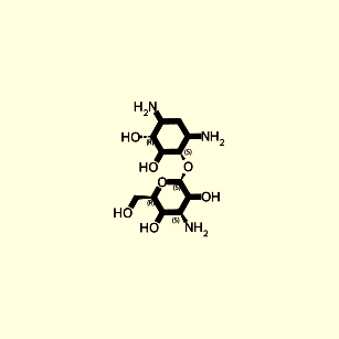 NC1CC(N)[C@H](O[C@H]2O[C@H](CO)C(O)[C@H](N)C2O)C(O)[C@@H]1O